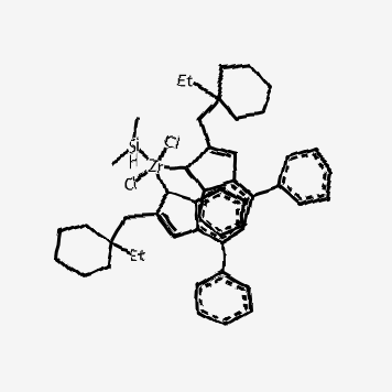 CCC1(CC2=Cc3c(-c4ccccc4)cccc3[CH]2[Zr]([Cl])([Cl])([CH]2C(CC3(CC)CCCCC3)=Cc3c(-c4ccccc4)cccc32)[SiH](C)C)CCCCC1